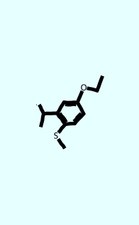 [CH2]C(C)c1cc(OCC)ccc1SC